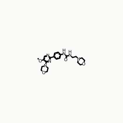 COc1cnc(-c2ccc(NC(=O)NCCN3CCOCC3)cc2)nc1N1CCOCC1